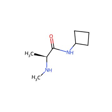 CN[C@@H](C)C(=O)NC1CCC1